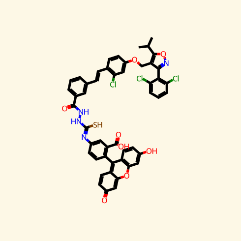 CC(C)c1onc(-c2c(Cl)cccc2Cl)c1COc1ccc(/C=C/c2cccc(C(=O)NNC(S)=Nc3ccc(-c4c5ccc(=O)cc-5oc5cc(O)ccc45)c(C(=O)O)c3)c2)c(Cl)c1